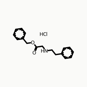 Cl.O=C(CNCCc1ccccc1)OCc1ccccc1